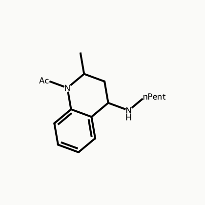 CCCCCNC1CC(C)N(C(C)=O)c2ccccc21